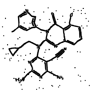 Cc1cncc(-n2c(N(CC3CC3)c3nc(N)nc(N)c3C#N)nc3cccc(Cl)c3c2=O)c1